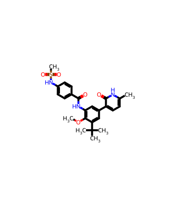 COc1c(NC(=O)c2ccc(NS(C)(=O)=O)cc2)cc(-c2ccc(C)[nH]c2=O)cc1C(C)(C)C